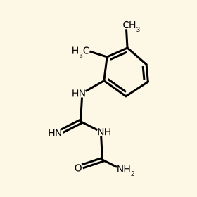 Cc1cccc(NC(=N)NC(N)=O)c1C